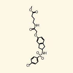 COC(=O)CCCNC(=O)COc1ccc2c(c1)CC(NS(=O)(=O)c1ccc(Cl)cc1)C2